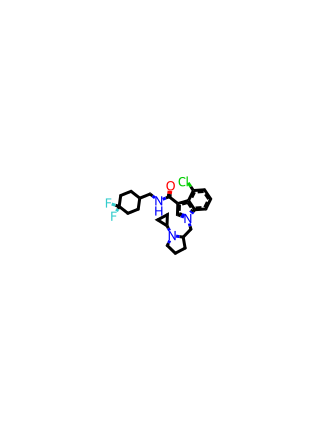 O=C(NCC1CCC(F)(F)CC1)c1cn(CC2CCCN2C2CC2)c2cccc(Cl)c12